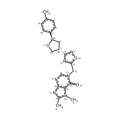 Cc1ccc([C@H]2C[C@H](c3noc(Cn4cnc5nc(C)n(C)c5c4=O)n3)CO2)cc1